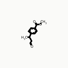 COC(=O)c1ccc(C(C)CC=O)cc1